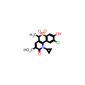 CC1c2cc(C(=O)O)c(=O)n(C3CC3)c2-c2cc(Cl)c(O)cc2S1(=O)=O